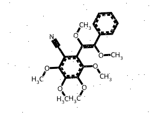 COC(=C(OC)c1c(C#N)c(OC)c(OC)c(OC)c1OC)c1ccccc1